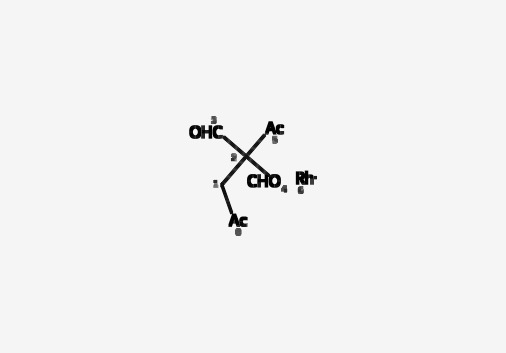 CC(=O)CC(C=O)(C=O)C(C)=O.[Rh]